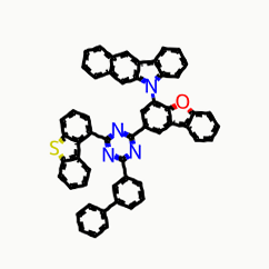 c1ccc(-c2cccc(-c3nc(-c4cc(-n5c6ccccc6c6cc7ccccc7cc65)c5oc6ccccc6c5c4)nc(-c4cccc5sc6ccccc6c45)n3)c2)cc1